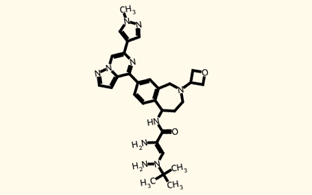 Cn1cc(-c2cn3nccc3c(-c3ccc4c(c3)CN(C3COC3)CCC4NC(=O)/C(N)=C/N(N)C(C)(C)C)n2)cn1